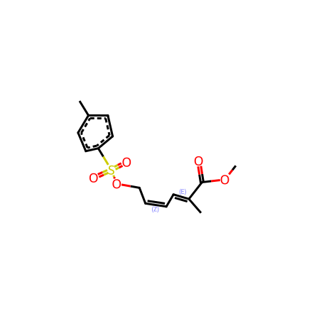 COC(=O)/C(C)=C/C=C\COS(=O)(=O)c1ccc(C)cc1